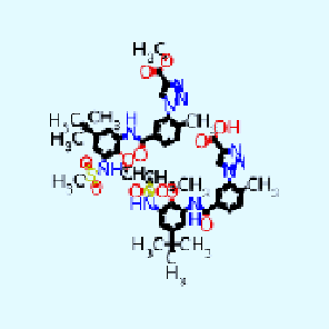 COC(=O)c1cn(-c2cc(C(=O)Nc3cc(C(C)(C)C)cc(NS(C)(=O)=O)c3OC)ccc2C)nn1.COc1c(NC(=O)c2ccc(C)c(-n3cc(C(=O)O)nn3)c2)cc(C(C)(C)C)cc1NS(C)(=O)=O